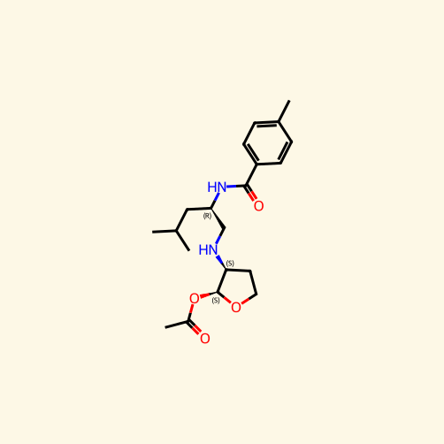 CC(=O)O[C@@H]1OCC[C@@H]1NC[C@@H](CC(C)C)NC(=O)c1ccc(C)cc1